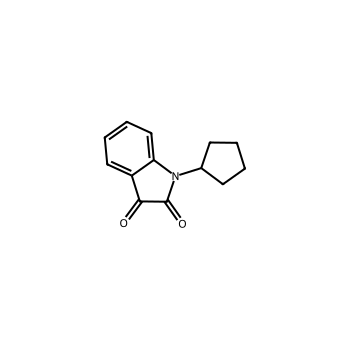 O=C1C(=O)N(C2CCCC2)c2ccccc21